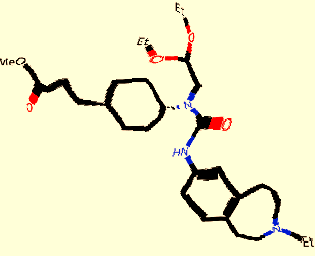 CCOC(CN(C(=O)Nc1ccc2c(c1)CCN(CC)CC2)[C@H]1CC[C@H](CCC(=O)OC)CC1)OCC